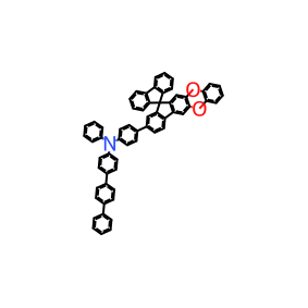 c1ccc(-c2ccc(-c3ccc(N(c4ccccc4)c4ccc(-c5ccc6c(c5)C5(c7ccccc7-c7ccccc75)c5cc7c(cc5-6)Oc5ccccc5O7)cc4)cc3)cc2)cc1